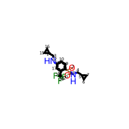 O=S(=O)(NCC1CC1)c1ccc(NCC2CC2)cc1C(F)(F)F